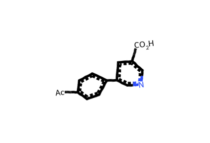 CC(=O)c1ccc(-c2cncc(C(=O)O)c2)cc1